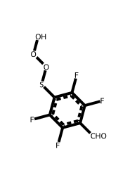 O=Cc1c(F)c(F)c(SOOO)c(F)c1F